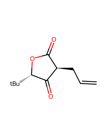 C=CC[C@@H]1C(=O)O[C@@H](C(C)(C)C)C1=O